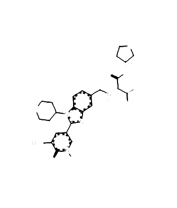 Cc1cc(-c2nc3cc(CN[C@H](C(=O)O[C@@H]4CCOC4)[C@@H](C)O)ccc3n2C2CCOCC2)cn(C)c1=O